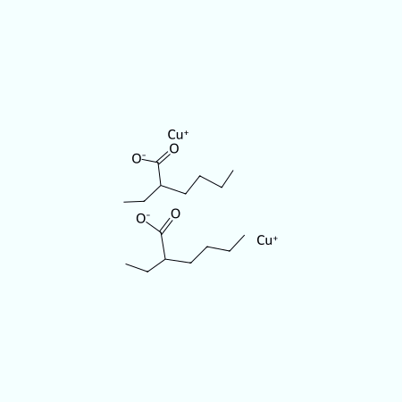 CCCCC(CC)C(=O)[O-].CCCCC(CC)C(=O)[O-].[Cu+].[Cu+]